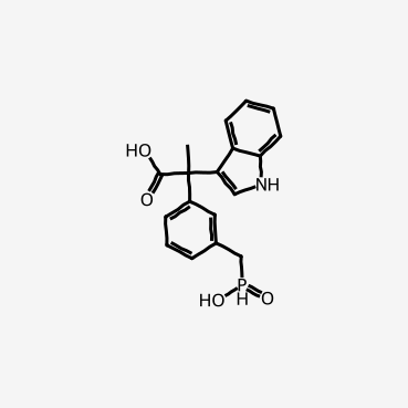 CC(C(=O)O)(c1cccc(C[PH](=O)O)c1)c1c[nH]c2ccccc12